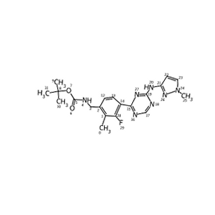 Cc1c(CNC(=O)OC(C)(C)C)ccc(-c2ncnc(Nc3ccn(C)n3)n2)c1F